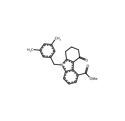 COC(=O)c1cccc2c1c1c(n2Cc2cc(C)cc(C)c2)CCCC1=O